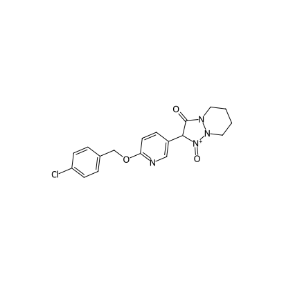 O=C1C(c2ccc(OCc3ccc(Cl)cc3)nc2)[N+](=O)N2CCCCN12